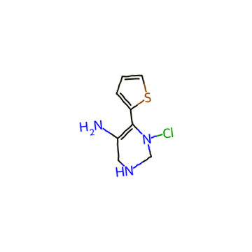 NC1=C(c2cccs2)N(Cl)CNC1